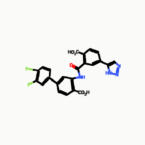 O=C(O)c1ccc(-c2ccc(F)c(F)c2)cc1NC(=O)c1cc(-c2cnn[nH]2)ccc1C(=O)O